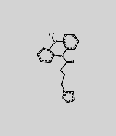 O=C(CCCn1cccn1)N1c2ccccc2[S+]([O-])c2ccccc21